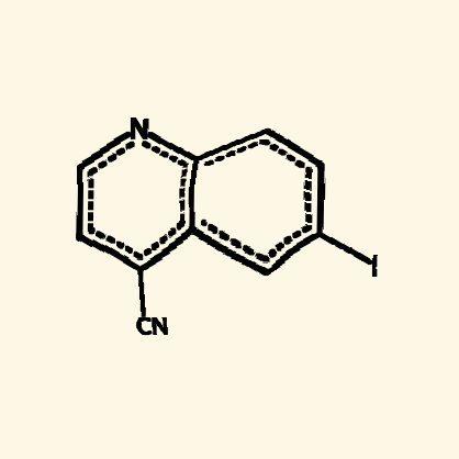 N#Cc1ccnc2ccc(I)cc12